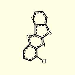 Clc1cccc2nc3c(nc12)sc1cccnc13